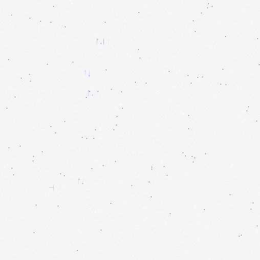 CN1CC=C(c2ccc3ccccc3c2F)c2ccc(-c3ccc(N)nn3)cc2C1